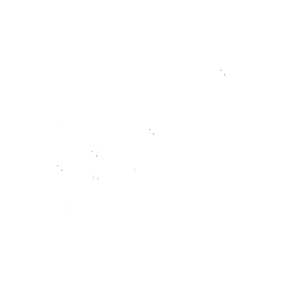 N#CC1CCN(C(=O)Cn2nc(Br)nc2Br)CC1